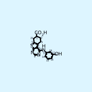 O=C(O)C1CCc2c(sc3ncnc(Nc4cccc(O)c4)c23)C1